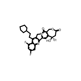 CC[C@@]1(O)CC(=O)OCc2c1cc1n(c2=O)Cc2c-1nc1cc(F)cc(F)c1c2CCC1CCCCC1